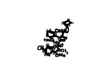 COc1cccc(OC)c1-n1c(COC2CCC2)nnc1NS(=O)(=O)[C@@H](C)[C@H](OC)c1ncc(Cl)cn1